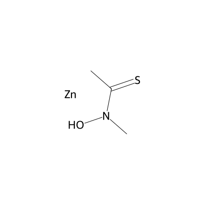 CC(=S)N(C)O.[Zn]